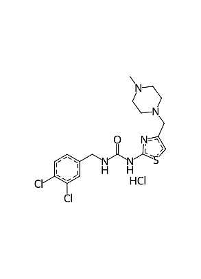 CN1CCN(Cc2csc(NC(=O)NCc3ccc(Cl)c(Cl)c3)n2)CC1.Cl